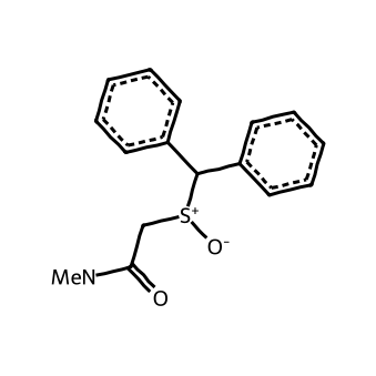 CNC(=O)C[S+]([O-])C(c1ccccc1)c1ccccc1